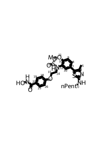 CCCCCNc1nc(C)c(-c2ccc(OC)c(N(CCOc3ccc(C(=O)NO)cc3)[SH](=O)=O)c2)s1